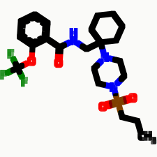 CCCS(=O)(=O)N1CCN(C2(CNC(=O)c3ccccc3OC(F)(F)F)CCCCC2)CC1